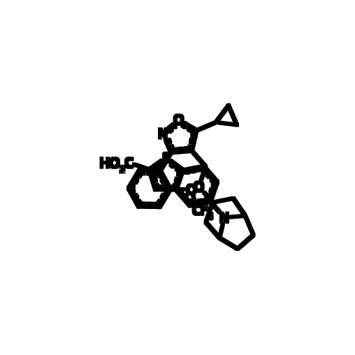 O=C(O)c1cc2cc(N3C4CCC3CC(OCc3c(-c5ccccc5OC(F)(F)F)noc3C3CC3)C4)ccc2s1